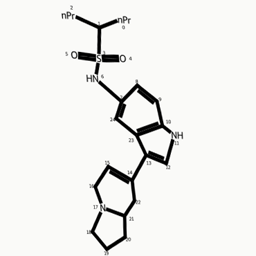 CCCC(CCC)S(=O)(=O)Nc1ccc2[nH]cc(C3=CCN4CCCC4C3)c2c1